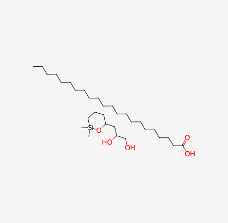 CCCCCCCCCCCCCCCCCCCCCC(=O)O.C[Si]1(C)CCCC(CC(O)CO)O1